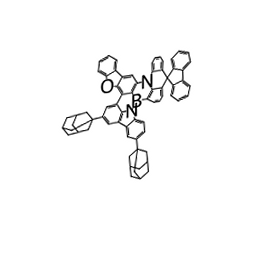 c1ccc2c(c1)-c1ccccc1C21c2ccccc2N2c3cc4c(oc5ccccc54)c4c3B(c3cccc1c32)n1c2ccc(C35CC6CC(CC(C6)C3)C5)cc2c2cc(C35CC6CC(CC(C6)C3)C5)cc-4c21